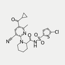 Cc1nc(N2CCCCC2C(=O)NS(=O)(=O)c2ccc(Cl)s2)c(C#N)cc1C(=O)C1CC1